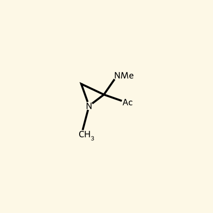 CNC1(C(C)=O)CN1C